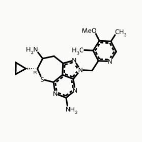 COc1c(C)cnc(Cn2nc3c4c(nc(N)nc42)S[C@H](C2CC2)C(N)C3)c1C